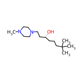 CN1CCN(CC[C@H](O)CCCC(C)(C)C)CC1